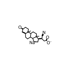 C[C@]12CCC(=O)C=C1CCC1C2CC[C@]2(C)C(=C(C#N)CC(=O)[O-])CCC12.[Na+]